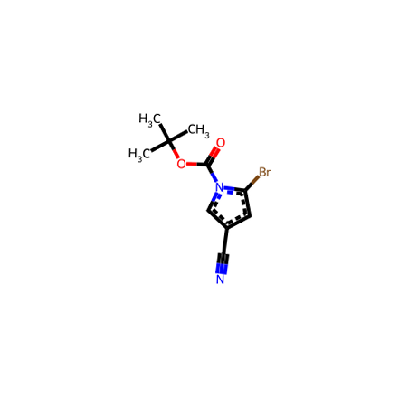 CC(C)(C)OC(=O)n1cc(C#N)cc1Br